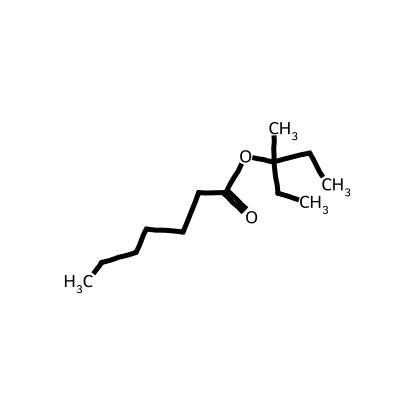 CCCCCCC(=O)OC(C)(CC)CC